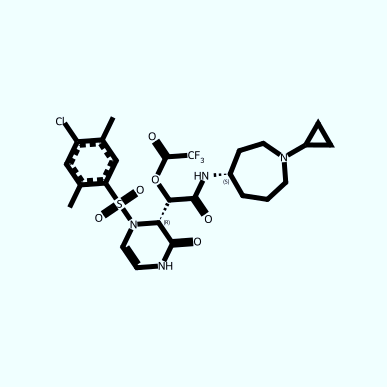 Cc1cc(S(=O)(=O)N2C=CNC(=O)[C@H]2C(OC(=O)C(F)(F)F)C(=O)N[C@H]2CCCN(C3CC3)CC2)c(C)cc1Cl